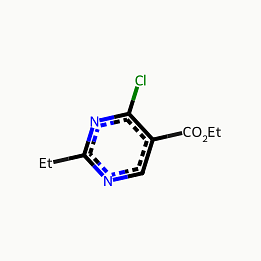 CCOC(=O)c1cnc(CC)nc1Cl